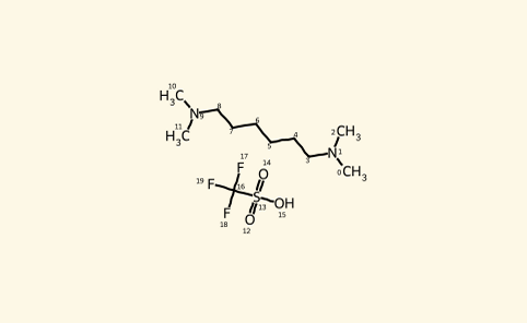 CN(C)CCCCCCN(C)C.O=S(=O)(O)C(F)(F)F